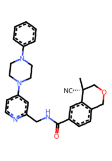 C[C@@]1(C#N)COCc2ccc(C(=O)NCc3cc(N4CCN(c5ccccc5)CC4)ccn3)cc21